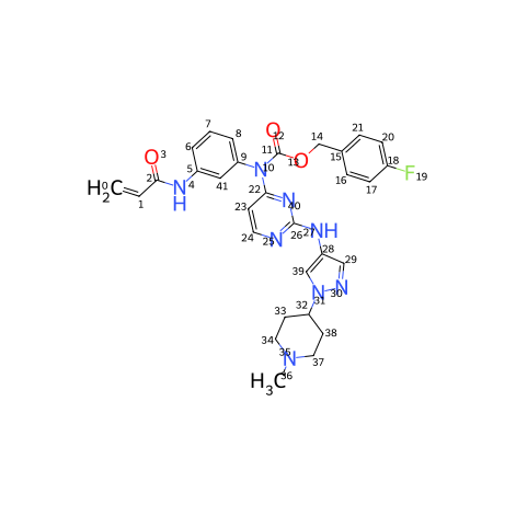 C=CC(=O)Nc1cccc(N(C(=O)OCc2ccc(F)cc2)c2ccnc(Nc3cnn(C4CCN(C)CC4)c3)n2)c1